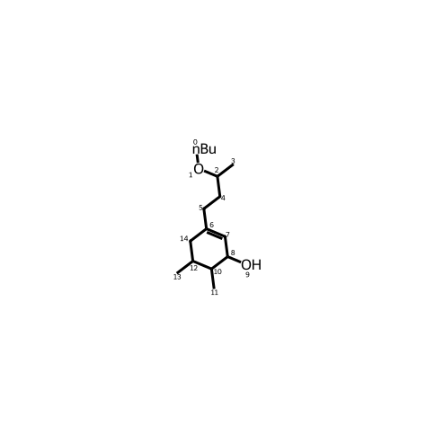 CCCCOC(C)CCC1=CC(O)C(C)C(C)C1